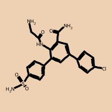 NCC(=O)Nc1c(C(N)=O)cc(-c2ccc(Cl)cc2)cc1-c1ccc(S(N)(=O)=O)cc1